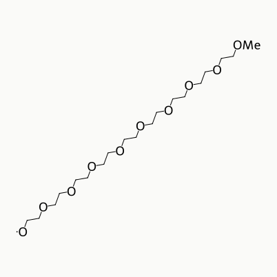 COCCOCCOCCOCCOCCOCCOCCOCCOCC[O]